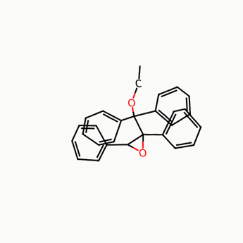 CCOC(c1ccccc1)(c1ccccc1)C1(c2ccccc2)OC1c1ccccc1